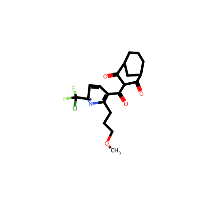 COCCCc1nc(C(F)(F)Cl)ccc1C(=O)C1C(=O)C2CCCC(C2)C1=O